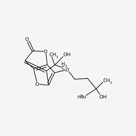 CCCCC(C)(O)CCOc1c2c3oc1c(C(C)(C)O)c3C(=O)O2